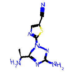 C[C@H](N)c1nc(N)nn1-c1ncc(C#N)s1